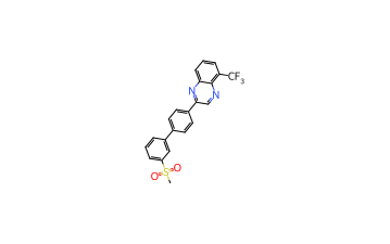 CS(=O)(=O)c1cccc(-c2ccc(-c3cnc4c(C(F)(F)F)cccc4n3)cc2)c1